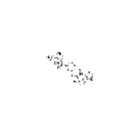 CC(C)(C)OC(=O)N1CC=C(CN(C(=O)C(F)(F)F)c2ccsc2I)CC1